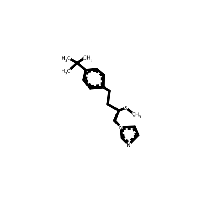 CSC(CCc1ccc(C(C)(C)C)cc1)Cn1ccnc1